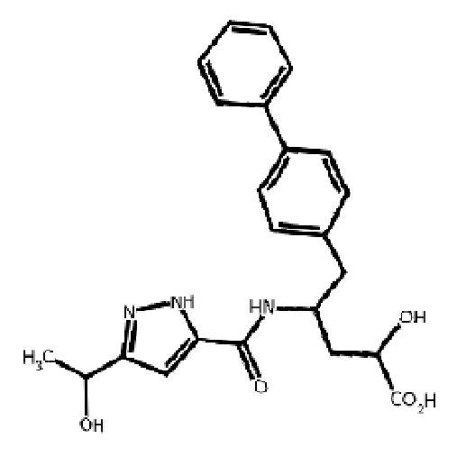 CC(O)c1cc(C(=O)NC(Cc2ccc(-c3ccccc3)cc2)CC(O)C(=O)O)[nH]n1